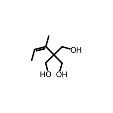 CC=C(C)C(CO)(CO)CO